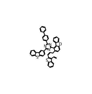 C=Cc1c(/C=C\Cc2ccc3oc4ccccc4c3c2-c2nc(-c3ccc(-c4ccccc4)cc3)nc(-c3ccc4sc5ccccc5c4c3)n2)sc2ccccc12